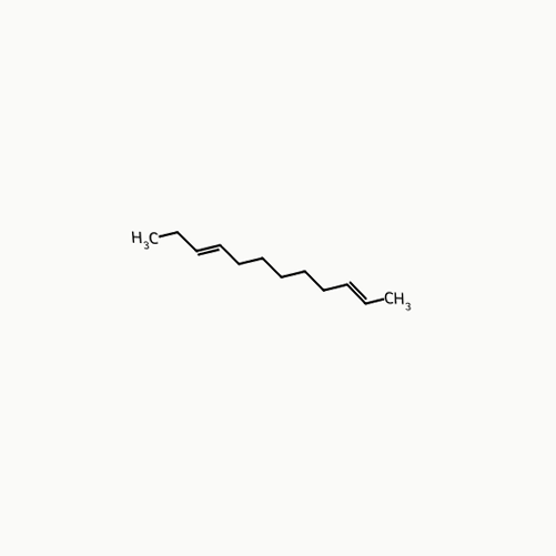 C/C=C/CCCCC/C=C/CC